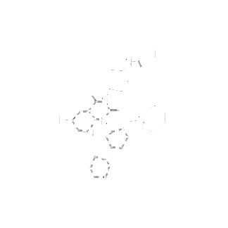 O=C(O)N[C@H]1CC[C@@H](n2c(=O)c3cc(F)cnc3n(-c3cc(-c4ccccc4)ccc3CN3CCCOCC3)c2=O)CC1